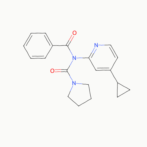 O=C(c1ccccc1)N(C(=O)N1CCCC1)c1cc(C2CC2)ccn1